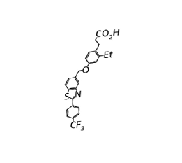 CCc1cc(OCc2ccc3sc(-c4ccc(C(F)(F)F)cc4)nc3c2)ccc1CCC(=O)O